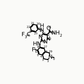 CN1CCc2cc(F)c(Nc3nnc(C(N)=O)c(Nc4cccc(C(F)(F)F)c4)n3)cc2C1